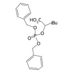 CCC(C)C(OP(=O)(OCc1ccccc1)OCc1ccccc1)C(=O)O